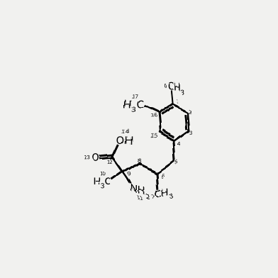 Cc1ccc(CC(C)CC(C)(N)C(=O)O)cc1C